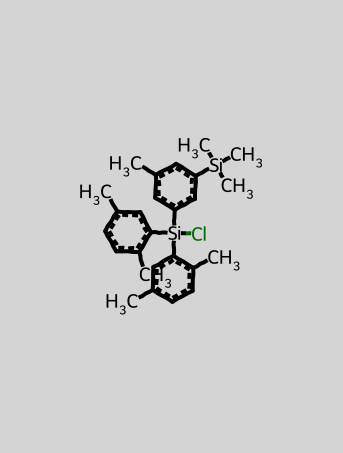 Cc1cc([Si](C)(C)C)cc([Si](Cl)(c2cc(C)ccc2C)c2cc(C)ccc2C)c1